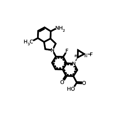 CC1C=CC(N)C2CN(c3ccc4c(=O)c(C(=O)O)cn([C@@H]5C[C@@H]5F)c4c3F)CC12